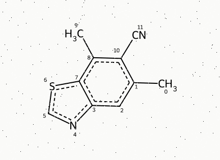 Cc1cc2ncsc2c(C)c1C#N